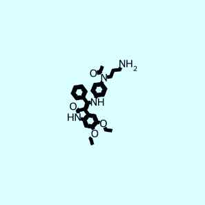 CCOc1cc2c(cc1OCC)C(=C(Nc1ccc(N(CCCN)C(C)=O)cc1)c1ccccc1)C(=O)N2